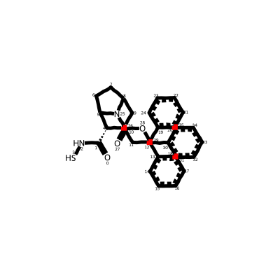 O=C(NS)[C@@H]1C2CCC(CN1CC(c1ccccc1)c1ccccc1)N2C(=O)OCc1ccccc1